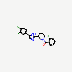 O=C(c1ccccc1F)N1CCCC(c2ncc(-c3ccc(F)c(F)c3)[nH]2)C1